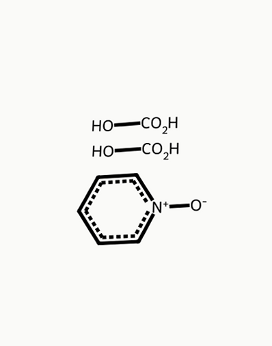 O=C(O)O.O=C(O)O.[O-][n+]1ccccc1